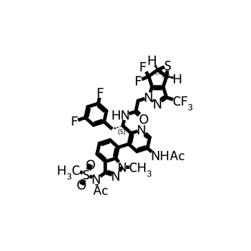 CC(=O)Nc1cnc([C@H](Cc2cc(F)cc(F)c2)NC(=O)Cn2nc(C(F)(F)F)c3c2C(F)(F)[C@@H]2S[C@H]32)c(-c2cccc3c(N(C(C)=O)S(C)(=O)=O)nn(C)c23)c1